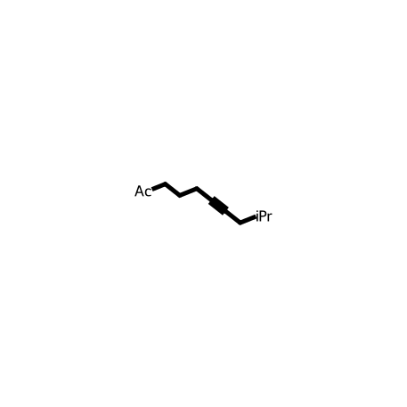 CC(=O)CCCC#CCC(C)C